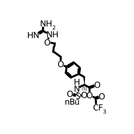 CCCCS(=O)(=O)N[C@@H](Cc1ccc(OCCCONC(=N)N)cc1)C(=O)OC(=O)C(F)(F)F